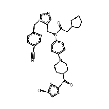 N#Cc1ccc(Cn2cncc2CN(C(=O)CC2CCCC2)c2ccc(N3CCN(C(=O)c4ccc(Cl)s4)CC3)cc2)cc1